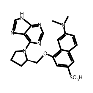 CN(C)c1ccc2cc(S(=O)(=O)O)cc(OC[C@H]3CCCN3c3ncnc4[nH]cnc34)c2c1